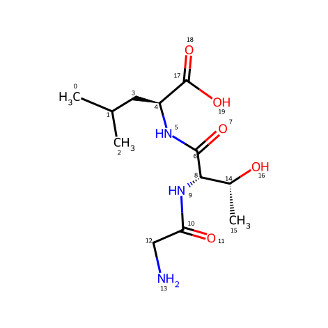 CC(C)C[C@H](NC(=O)[C@@H](NC(=O)CN)[C@@H](C)O)C(=O)O